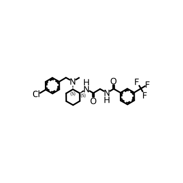 CN(Cc1ccc(Cl)cc1)[C@H]1CCCC[C@@H]1NC(=O)CNC(=O)c1cccc(C(F)(F)F)c1